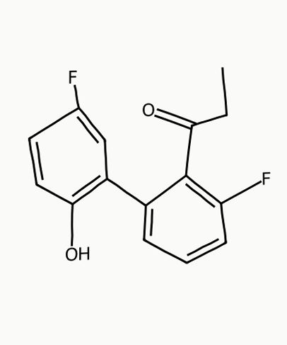 CCC(=O)c1c(F)cccc1-c1cc(F)ccc1O